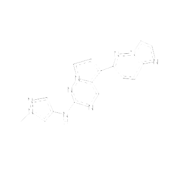 Cn1cc(Nc2ncc3c(-c4ccc5nccn5n4)ccn3n2)cn1